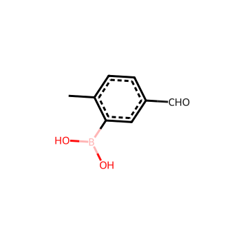 Cc1ccc(C=O)cc1B(O)O